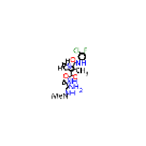 CNN/C=C(\N)C1(NC(=O)C(=O)c2c(C)c(C(=O)Nc3ccc(F)c(Cl)c3)n3c2C[C@H]2C[C@H]23)CC1